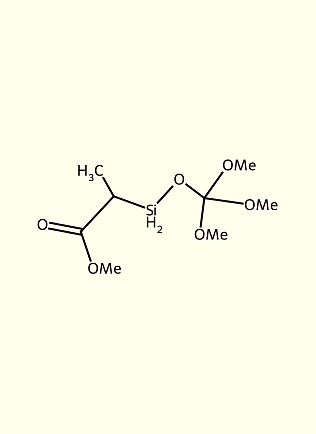 COC(=O)C(C)[SiH2]OC(OC)(OC)OC